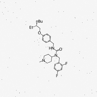 CCCC[C@H](CC)COc1ccc(CNC(=O)N(Cc2ccc(F)cc2F)C2CCN(C)CC2)cc1